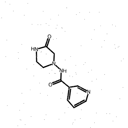 O=C1CN(NC(=O)c2cccnc2)CCN1